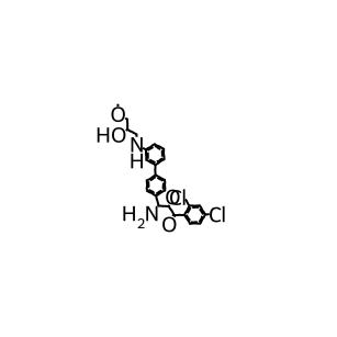 COCC(O)CNc1cccc(-c2ccc3c(c2)OC(C(=O)c2ccc(Cl)cc2Cl)C3N)c1